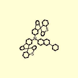 c1ccc(-c2ccc3cc(N(c4ccc5c(c4)C4(c6ccccc6Sc6ccccc64)c4ccccc4-5)c4ccc5c(c4)C4(c6ccccc6Sc6ccccc64)c4ccccc4-5)ccc3c2)cc1